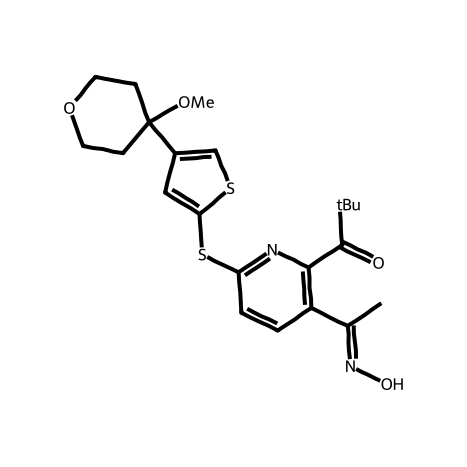 COC1(c2csc(Sc3ccc(/C(C)=N/O)c(C(=O)C(C)(C)C)n3)c2)CCOCC1